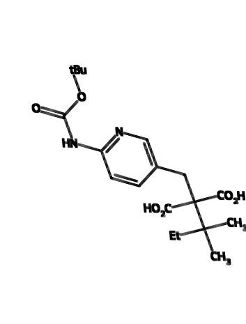 CCC(C)(C)C(Cc1ccc(NC(=O)OC(C)(C)C)nc1)(C(=O)O)C(=O)O